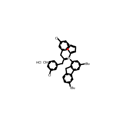 CC(C)(C)c1ccc2c(c1)-c1cc(C(C)(C)C)c[c]([Zr]([C]3=CC=CC3)=[C](Cc3cccc(Cl)c3)Cc3cccc(Cl)c3)c1C2.Cl.Cl